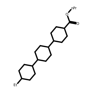 CCCOC(=O)C1CCC(C2CCC(C3CCC(CC)CC3)CC2)CC1